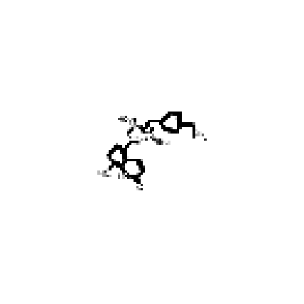 CC(C)(C)[Si](C)(C)O[C@@H](CN(CCc1ccc(CN)cc1)C(=O)O)c1ccc(O)c2[nH]c(=O)ccc12